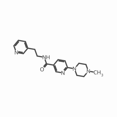 CN1CCN(c2ccc(C(=O)NCCc3cccnc3)cn2)CC1